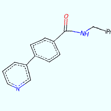 CC(C)CNC(=O)c1ccc(-c2cccnc2)cc1